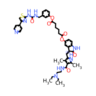 CCN(CC)CCNC(=O)c1c(C)[nH]c(/C=C2\C(=O)Nc3ccc(OC(=O)CCCCC(=O)Oc4cccc(CNC(=O)Nc5nc(-c6ccncc6)cs5)c4)cc32)c1C